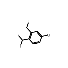 Clc1ccc(C(I)I)c(CI)c1